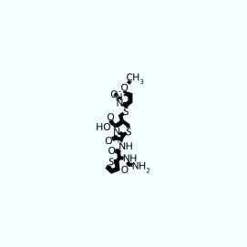 CCOc1ccc(SCC2=C(C(=O)O)N3C(=O)[C@@H](NC(=O)C(NC(N)=O)c4cccs4)C3SC2)n[n+]1[O-]